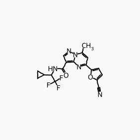 Cc1cc(-c2ccc(C#N)o2)nc2c(C(=O)NC(C3CC3)C(F)(F)F)cnn12